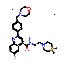 CS1(C)CCN(CCNC(=O)c2cc(-c3ccc(CN4CCOCC4)cc3)nc3ccc(F)cc23)CC1